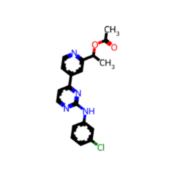 CC(=O)OC(C)c1cc(-c2ccnc(Nc3cccc(Cl)c3)n2)ccn1